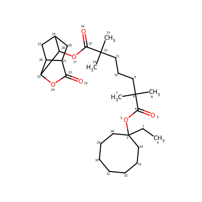 CCC1(OC(=O)C(C)(C)CCCC(C)(C)C(=O)OC2C3CC4C(=O)OC2C4C3)CCCCCCC1